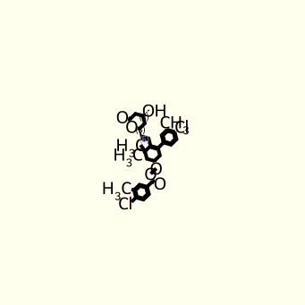 Cc1cc(C(=O)OOC2CC(c3ccc(Cl)c(C)c3)=C(/C=C/[C@@H]3C[C@@H](O)CC(=O)O3)C(C)(C)C2)ccc1Cl